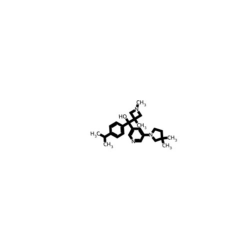 CC(C)c1ccc(C(O)(c2cncc(N3CCC(C)(C)C3)c2)C2(C)CN(C)C2)cc1